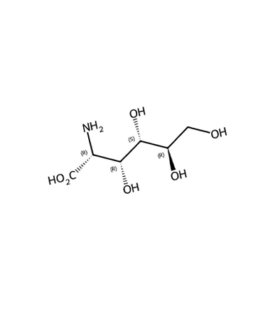 N[C@@H](C(=O)O)[C@@H](O)[C@H](O)[C@H](O)CO